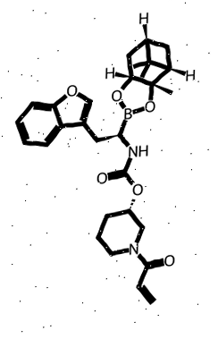 C=CC(=O)N1CCC[C@H](OC(=O)N[C@@H](Cc2coc3ccccc23)B2O[C@@H]3C[C@@H]4C[C@@H](C4(C)C)[C@]3(C)O2)C1